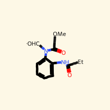 CCC(=O)Nc1ccccc1N([C]=O)C(=O)OC